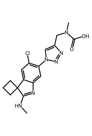 CNC1=Nc2cc(-n3cc(CN(C)C(=O)O)nn3)c(Cl)cc2C12CCC2